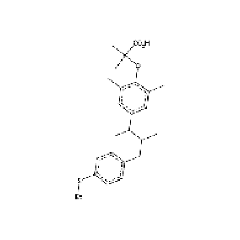 CCSc1ccc(CC(C)C(C)c2cc(C)c(OC(C)(C)C(=O)O)c(C)c2)cc1